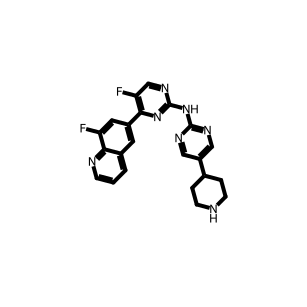 Fc1cnc(Nc2ncc(C3CCNCC3)cn2)nc1-c1cc(F)c2ncccc2c1